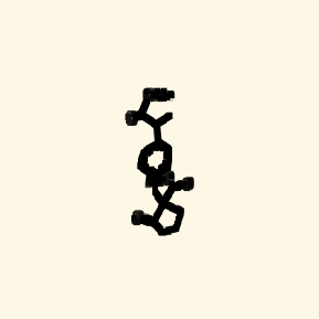 COC(=O)C(C)c1ccc(CC2(C(=O)OC)CCCC2=O)cc1